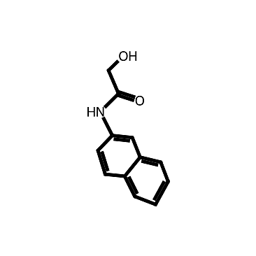 O=C(CO)Nc1ccc2ccccc2c1